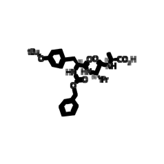 CC(C)[C@H](NC(=O)[C@H](Cc1ccc(OC(C)(C)C)cc1)NC(=O)OCc1ccccc1)C(=O)N[C@@H](C)C(=O)O